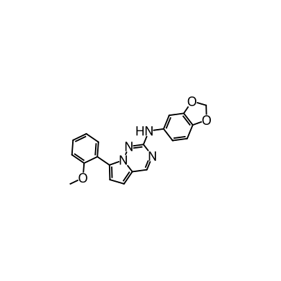 COc1ccccc1-c1ccc2cnc(Nc3ccc4c(c3)OCO4)nn12